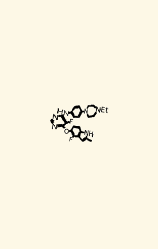 CCN1CCN(c2ccc(Nc3ncnc(Oc4ccc5[nH]c(C)cc5c4F)c3F)cc2)CC1